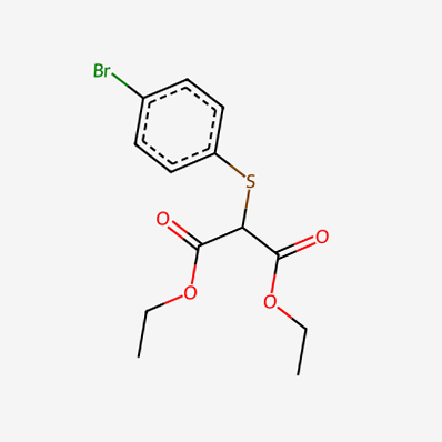 CCOC(=O)C(Sc1ccc(Br)cc1)C(=O)OCC